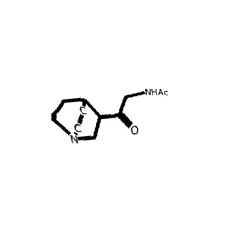 CC(=O)NCC(=O)C1CN2CCC1CC2